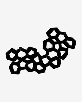 c1ccc(-c2ccccc2N(c2ccc3c4c(ccc3c2)-c2ccccc2C42c3ccccc3Oc3ccccc32)c2cccc3c2-c2ccccc2C32c3ccccc3Oc3ccccc32)cc1